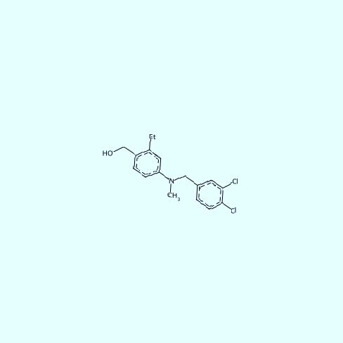 CCc1cc(N(C)Cc2ccc(Cl)c(Cl)c2)ccc1CO